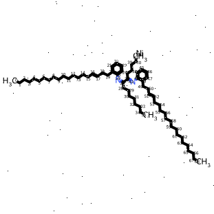 CCCCCCCCCCCCCCCC/C=C/CCc1ccccc1/N=C(CCCCCCCC)\C(CCCCC)=N\c1ccccc1CC/C=C/CCCCCCCCCCCCCCCC.[Ni]